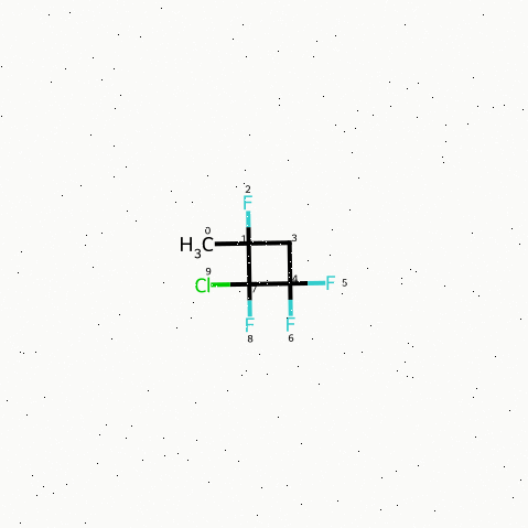 CC1(F)CC(F)(F)C1(F)Cl